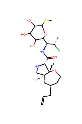 C=CC[C@@H]1CCO[C@@H]2[C@H](CN[C@@H]2C(=O)N[C@@H](C2OC(SC)C(O)C(O)C2O)[C@H](C)Cl)C1